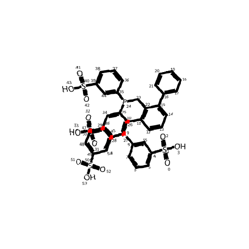 O=S(=O)(O)c1cccc(P(Cc2cccc(-c3ccccc3)c2CP(c2cccc(S(=O)(=O)O)c2)c2cccc(S(=O)(=O)O)c2)c2cccc(S(=O)(=O)O)c2)c1